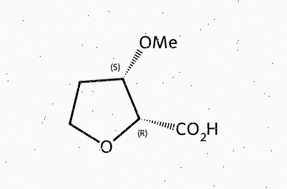 CO[C@H]1CCO[C@H]1C(=O)O